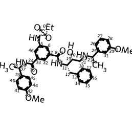 CCS(=O)(=O)Nc1cc(C(=O)N[C@@H](Cc2ccccc2)[C@H](O)CN[C@H](C)c2cccc(OC)c2)cc(C(=O)N[C@H](C)c2ccc(OC)cc2)c1